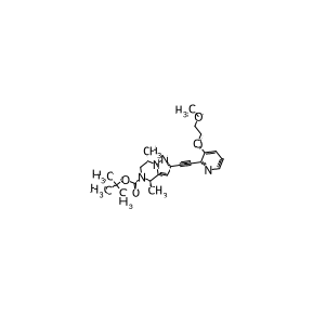 COCCOc1cccnc1C#Cc1cc2n(n1)[C@@H](C)CN(C(=O)OC(C)(C)C)[C@@H]2C